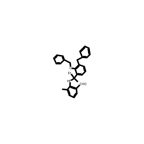 CCC(C)(Pc1c(C)cccc1C=O)c1cccc(Cc2ccccc2)c1OCc1ccccc1